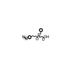 [N-]=[N+]=Nc1ccc(CCCC(=O)N(CCC(=O)O)OCc2ccccc2)cc1